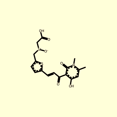 Cc1cc(O)c(C(=O)C=Cc2ccc(C[S+]([O-])CC(=O)O)s2)c(=O)n1C